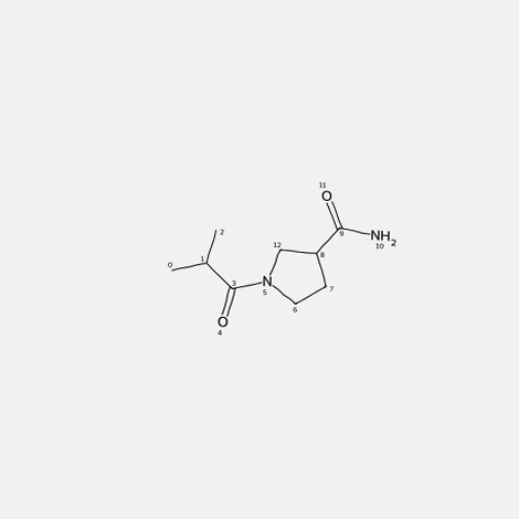 CC(C)C(=O)N1CCC(C(N)=O)C1